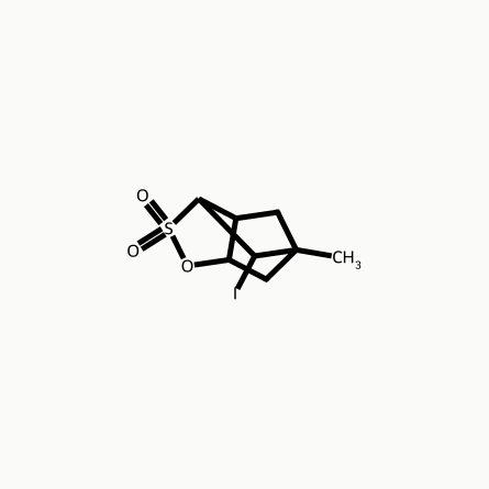 CC12CC3OS(=O)(=O)C(C3C1)C2I